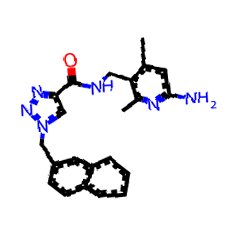 Cc1cc(N)nc(C)c1CNC(=O)c1cn(Cc2ccc3ccccc3c2)nn1